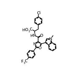 Cn1cc(-c2oc(-c3ccc(C(F)(F)F)cc3)nc2C(=O)NC(Cc2ccc(Cl)cc2)C(=O)O)c2ccccc21